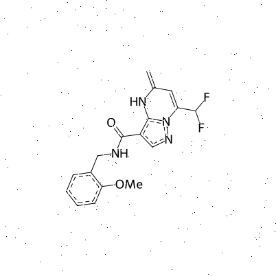 C=C1C=C(C(F)F)n2ncc(C(=O)NCc3ccccc3OC)c2N1